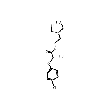 CCN(CC)CCNC(=O)COc1ccc(Cl)cc1.Cl